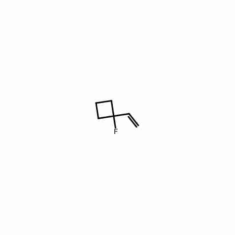 C=CC1(F)CCC1